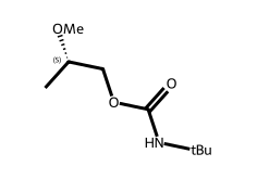 CO[C@@H](C)COC(=O)NC(C)(C)C